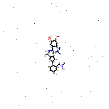 COc1cc2nc(C)nc(N[C@H](C)c3ccc(-c4ccccc4CN(C)C)s3)c2cc1OC